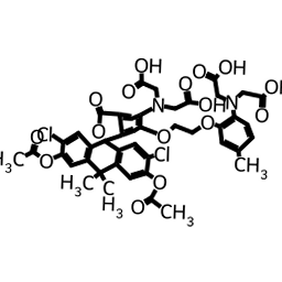 CC(=O)Oc1cc2c(cc1Cl)C1(OC(=O)c3cc(N(CC(=O)O)CC(=O)O)c(OCCOc4cc(C)ccc4N(CC(=O)O)CC(=O)O)cc31)c1cc(Cl)c(OC(C)=O)cc1C2(C)C